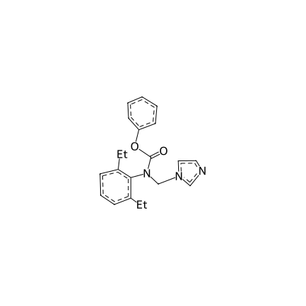 CCc1cccc(CC)c1N(Cn1ccnc1)C(=O)Oc1ccccc1